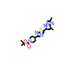 Cc1cn2nc(-c3cn4cc(C5CCN(C(=O)OC(C)(C)C)CC5)nc4s3)cc(C)c2n1